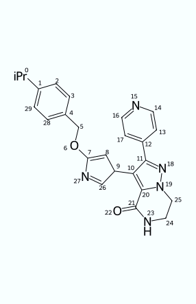 CC(C)c1ccc(COC2=CC(c3c(-c4ccncc4)nn4c3C(=O)NCC4)C=N2)cc1